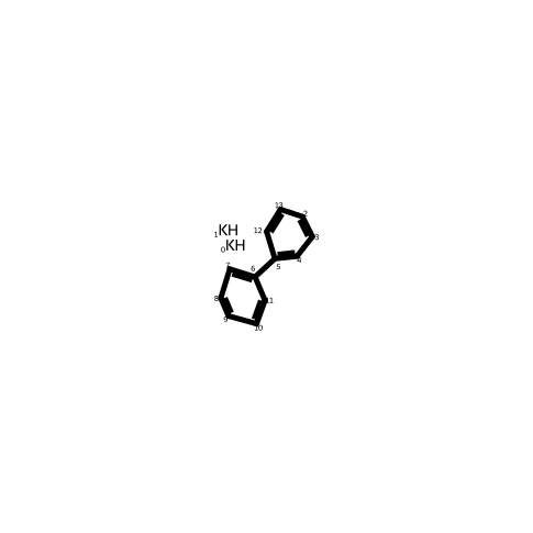 [KH].[KH].c1ccc(-c2ccccc2)cc1